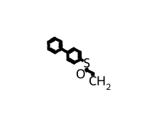 C=CC(=O)Sc1ccc(-c2ccccc2)cc1